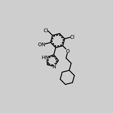 O=Nc1c(Cl)cc(Cl)c(OCCC2CCCCC2)c1-c1cnc[nH]1